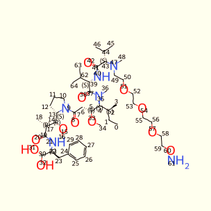 CC[C@H](C)[C@@H]([C@@H](CC(=O)N1CCC[C@H]1[C@H](OC)[C@@H](C)C(=O)N[C@@H](Cc1ccccc1)C(O)O)OC)N(C)C(=O)[C@@H](NC(=O)[C@H](C(C)C)N(C)CCOCCOCCOCCON)C(C)C